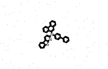 c1ccc(-c2ccc(N(c3ccc4c(n3)sc3ccccc34)c3cc4ccccc4c4ccccc34)cc2)cc1